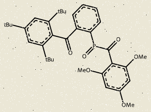 COc1cc(OC)c(C(=O)[P](=O)c2ccccc2C(=O)c2c(C(C)(C)C)cc(C(C)(C)C)cc2C(C)(C)C)c(OC)c1